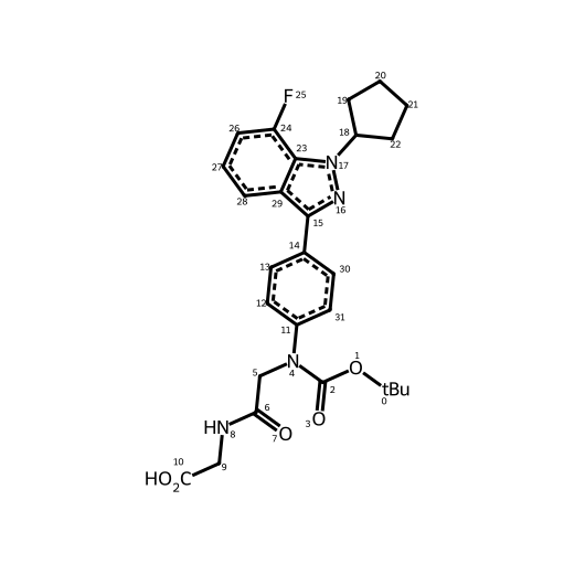 CC(C)(C)OC(=O)N(CC(=O)NCC(=O)O)c1ccc(-c2nn(C3CCCC3)c3c(F)cccc23)cc1